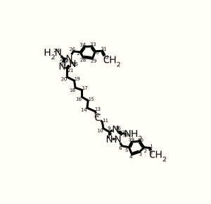 C=Cc1ccc(Cn2nc(CCCCCCCCCCCc3nc(N)n(Cc4ccc(C=C)cc4)n3)nc2N)cc1